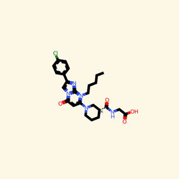 CCCCCn1c(N2CCC[C@@H](C(=O)NCC(=O)O)C2)cc(=O)n2cc(-c3ccc(Cl)cc3)nc12